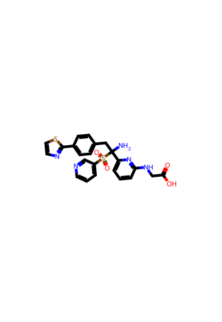 NC(Cc1ccc(-c2nccs2)cc1)(c1cccc(NCC(=O)O)n1)S(=O)(=O)c1cccnc1